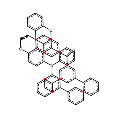 O=C(c1cc(-c2ccccc2)cc(-c2ccccc2)c1)c1ccc2c(c1)Oc1ccccc1C21c2ccccc2Oc2ccc(N(c3cccc(-c4ccccc4)c3)c3ccccc3-c3ccccc3)cc21